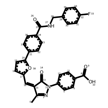 CC1=NN(c2ccc(C(=O)O)cc2)C(=O)C1=Cc1ccc(-c2ccc(C(=O)NCc3ccc(F)cc3)cc2)o1